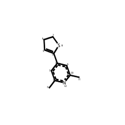 Cc1cc(C2=CCCS2)cc(C)n1